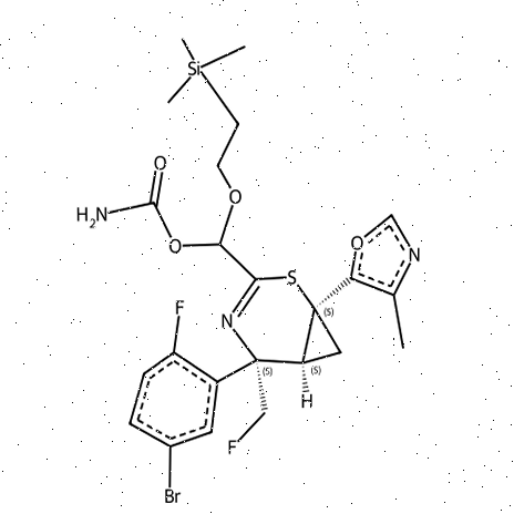 Cc1ncoc1[C@]12C[C@H]1[C@@](CF)(c1cc(Br)ccc1F)N=C(C(OCC[Si](C)(C)C)OC(N)=O)S2